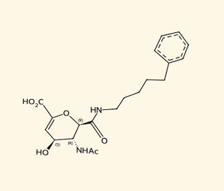 CC(=O)N[C@@H]1[C@@H](O)C=C(C(=O)O)O[C@H]1C(=O)NCCCCCc1ccccc1